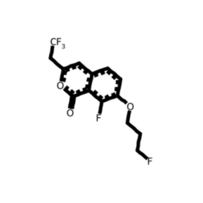 O=c1oc(CC(F)(F)F)cc2ccc(OCCCF)c(F)c12